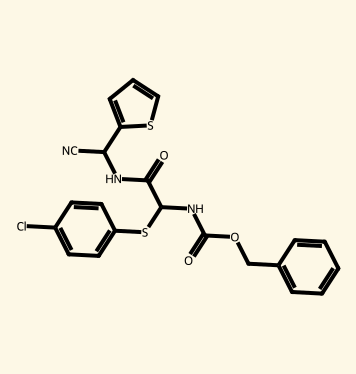 N#CC(NC(=O)C(NC(=O)OCc1ccccc1)Sc1ccc(Cl)cc1)c1cccs1